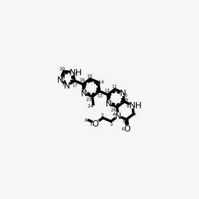 COCCN1C(=O)CNc2ncc(-c3ccc(-c4nnc[nH]4)nc3C)nc21